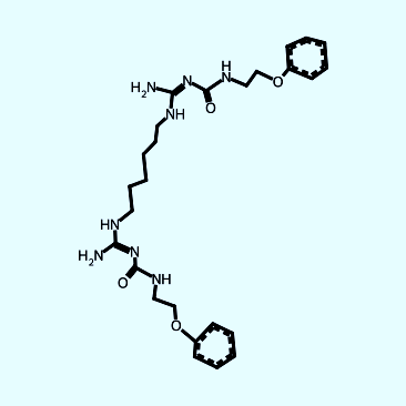 NC(=NC(=O)NCCOc1ccccc1)NCCCCCCNC(N)=NC(=O)NCCOc1ccccc1